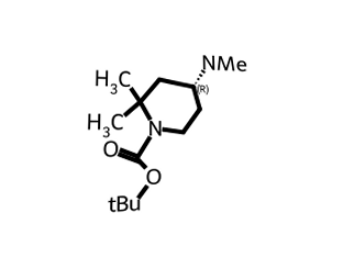 CN[C@@H]1CCN(C(=O)OC(C)(C)C)C(C)(C)C1